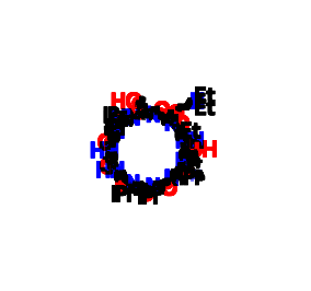 C/C=C/C[C@@H](C)[C@@H](O)[C@H]1C(=O)N[C@@H](CC)C(=O)N(C)[C@H](COCCCN(CC)CC)C(=O)N(C)[C@@H](CC(C)(C)O)C(=O)N[C@@H](C(C)C)C(=O)N(C)[C@@H](CC(C)C)C(=O)N[C@@H](C)C(=O)N[C@H](C)C(=O)N(C)[C@@H](CC(C)C)C(=O)N(C)[C@@H](CC(C)C)C(=O)N(C)[C@@H](C(C)C)C(=O)N1C